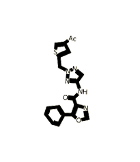 CC(=O)c1csc(Cn2ncc(NC(=O)c3ncoc3-c3ccccc3)n2)c1